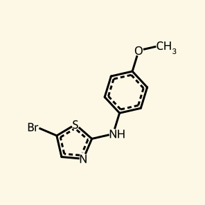 COc1ccc(Nc2ncc(Br)s2)cc1